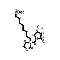 CCCCCCCCCCCCCCCCCC[N+]1(CN2CCCC2=O)CCOC1.[Cl-]